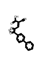 N#C/C(=C/c1nnoc1-c1ccc(-c2ccccc2)cc1)C(=O)O